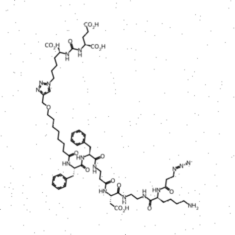 [N-]=[N+]=NCCC(=O)N[C@@H](CCCCN)C(=O)NCCNC(=O)[C@H](CC(=O)O)NC(=O)CCNC(=O)[C@H](Cc1ccccc1)NC(=O)[C@H](Cc1ccccc1)NC(=O)CCCCCCCOCc1cn(CCCC[C@H](NC(=O)N[C@@H](CCC(=O)O)C(=O)O)C(=O)O)nn1